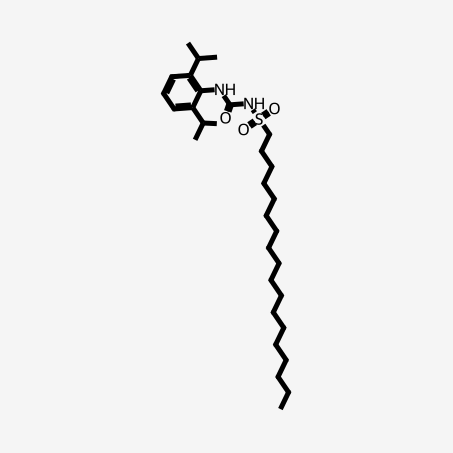 CCCCCCCCCCCCCCCCCCS(=O)(=O)NC(=O)Nc1c(C(C)C)cccc1C(C)C